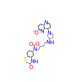 COc1ccc2nccc(N3CC[C@@H](NCCC4CN(c5ccc6c(c5)NC(=O)CS6)C(=O)O4)C3)c2n1